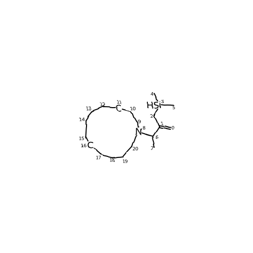 C=C(C[SiH](C)C)C(C)N1CCCCCCCCCCCC1